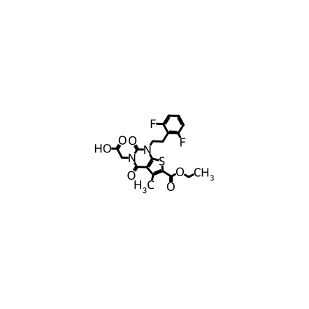 CCOC(=O)c1sc2c(c1C)c(=O)n(CC(=O)O)c(=O)n2CCc1c(F)cccc1F